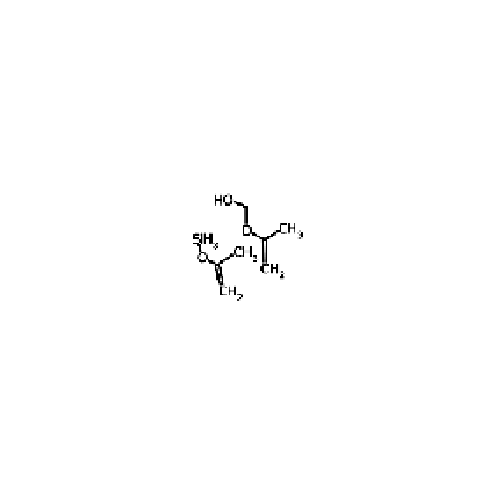 C=C(C)OCO.C=C(C)O[SiH3]